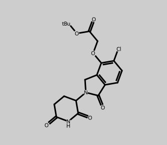 CC(C)(C)OC(=O)COc1c(Cl)ccc2c1CN(C1CCC(=O)NC1=O)C2=O